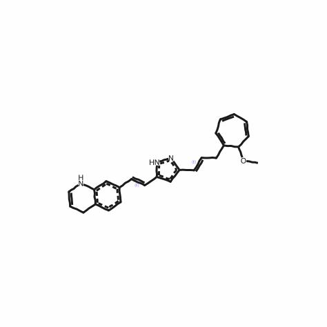 COC1C=CC=CC=C1C/C=C/c1cc(/C=C/c2ccc3c(c2)NC=CC3)[nH]n1